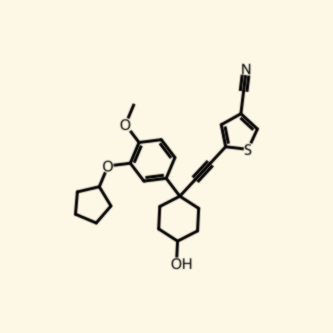 COc1ccc(C2(C#Cc3cc(C#N)cs3)CCC(O)CC2)cc1OC1CCCC1